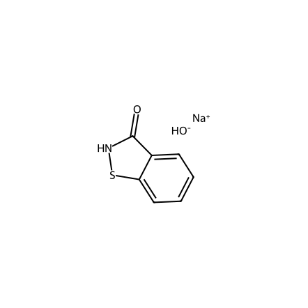 O=c1[nH]sc2ccccc12.[Na+].[OH-]